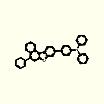 C1=CCCC(c2cc3oc4cc(-c5ccc(N(c6ccccc6)c6ccccc6)cc5)ccc4c3c3ccccc23)=C1